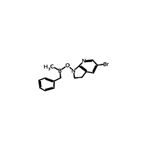 CB(Cc1ccccc1)ON1CCc2cc(Br)cnc21